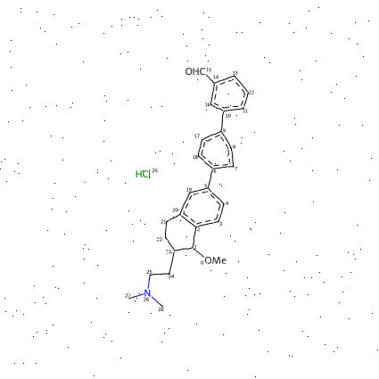 COC1c2ccc(-c3ccc(-c4cccc(C=O)c4)cc3)cc2CCC1CCN(C)C.Cl